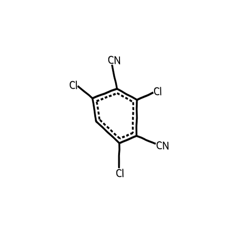 N#Cc1c(Cl)cc(Cl)c(C#N)c1Cl